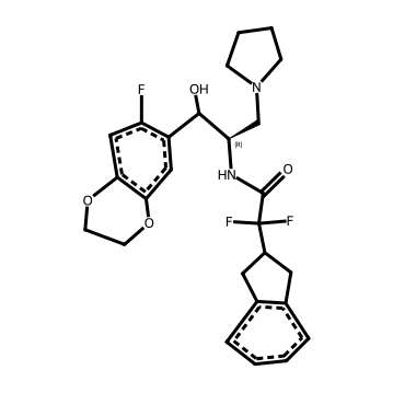 O=C(N[C@H](CN1CCCC1)C(O)c1cc2c(cc1F)OCCO2)C(F)(F)C1Cc2ccccc2C1